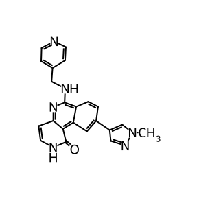 Cn1cc(-c2ccc3c(NCc4ccncc4)nc4cc[nH]c(=O)c4c3c2)cn1